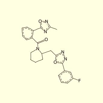 Cc1noc(-c2ccccc2C(=O)N2CCCCC2Cc2nnc(-c3cccc(F)c3)o2)n1